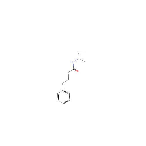 CC(NC(=O)CCCc1ccccc1)C(=O)O